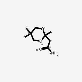 CC1(C)COC(C)(CC(N)=O)OC1